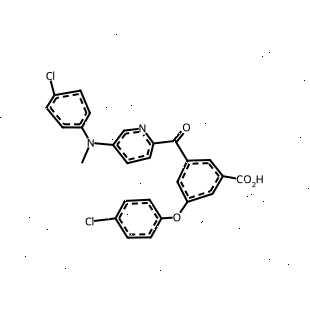 CN(c1ccc(Cl)cc1)c1ccc(C(=O)c2cc(Oc3ccc(Cl)cc3)cc(C(=O)O)c2)nc1